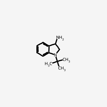 CC(C)(C)N1CC(N)c2ccccc21